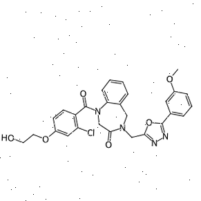 COc1cccc(-c2nnc(CN3Cc4ccccc4N(C(=O)c4ccc(OCCO)cc4Cl)CC3=O)o2)c1